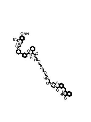 CCOc1cc(OC)ccc1CNCC(=O)N1CCCC(c2cccc(C(=O)N[C@@H](C(=O)NCCOCCOCCOCCNCC(=O)N3CCN(C(=O)c4cc(Cc5n[nH]c(=O)c6ccccc56)ccc4F)CC3)C3CCCCC3)c2)C1